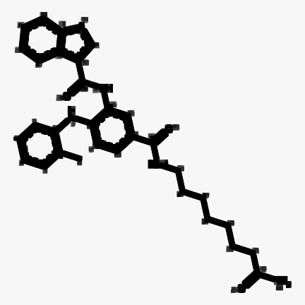 Cc1ccccc1Nc1ncc(C(=O)NCCCCCCCC(N)=O)cc1NC(=O)c1csc2ccccc12